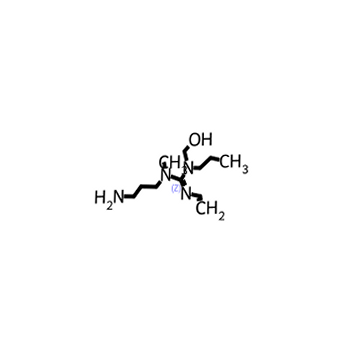 C=C/N=C(/N(C)CCCN)N(CO)CCC